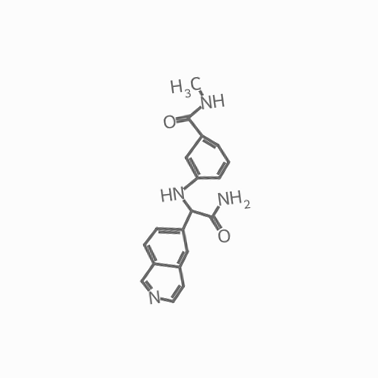 CNC(=O)c1cccc(NC(C(N)=O)c2ccc3cnccc3c2)c1